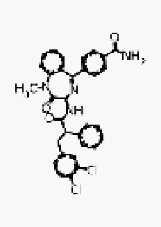 CN1C(=O)C(NC(=O)C(Cc2ccc(Cl)c(Cl)c2)c2ccccc2)N=C(c2ccc(C(N)=O)cc2)c2ccccc21